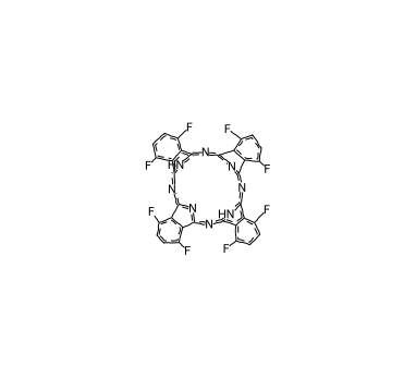 Fc1ccc(F)c2c1-c1nc-2nc2[nH]c(nc3nc(nc4[nH]c(n1)c1c(F)ccc(F)c41)-c1c(F)ccc(F)c1-3)c1c(F)ccc(F)c21